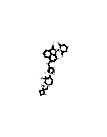 CC1(CN2CCC(n3cc(Cc4ccc5c6c(cccc46)C(=O)N5N4C(=O)CCCC4=O)cn3)C(F)(F)C2)CCC1